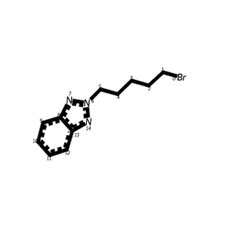 BrCCCCCn1nc2ccccc2n1